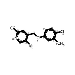 Cc1cc(OCc2cc(Cl)ncc2Br)ccc1Cl